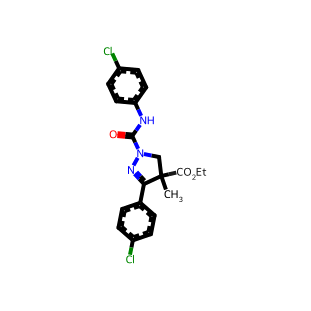 CCOC(=O)C1(C)CN(C(=O)Nc2ccc(Cl)cc2)N=C1c1ccc(Cl)cc1